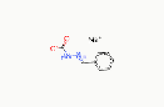 O=C([O-])N/N=C/c1ccccc1.[Na+]